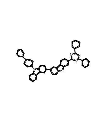 c1ccc(-c2ccc(-n3c4ccccc4c4cc(-c5ccc6oc7cc(-c8nc(-c9ccccc9)nc(-c9ccccc9)n8)ccc7c6c5)ccc43)cc2)cc1